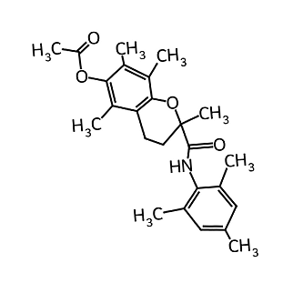 CC(=O)Oc1c(C)c(C)c2c(c1C)CCC(C)(C(=O)Nc1c(C)cc(C)cc1C)O2